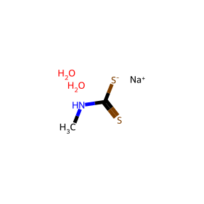 CNC(=S)[S-].O.O.[Na+]